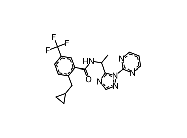 CC(NC(=O)c1cc(C(F)(F)F)ccc1CC1CC1)c1ncnn1-c1ncccn1